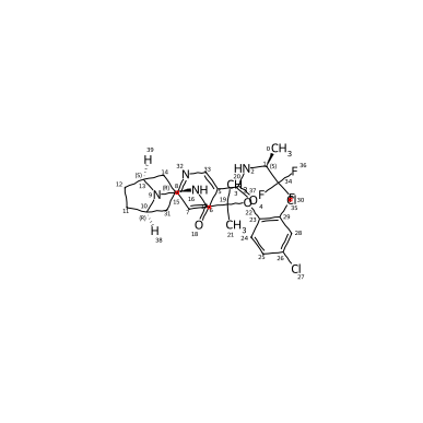 C[C@H](NC(=O)c1ccc(N2[C@@H]3CC[C@H]2C[C@@H](NC(=O)C(C)(C)Oc2ccc(Cl)cc2Cl)C3)nc1)C(F)(F)F